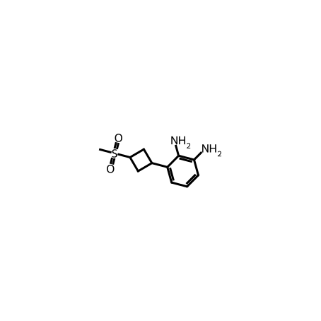 CS(=O)(=O)C1CC(c2cccc(N)c2N)C1